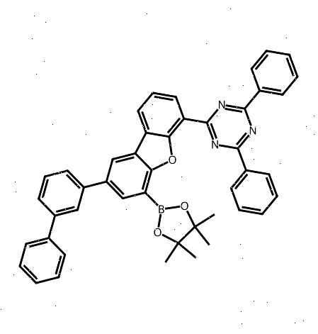 CC1(C)OB(c2cc(-c3cccc(-c4ccccc4)c3)cc3c2oc2c(-c4nc(-c5ccccc5)nc(-c5ccccc5)n4)cccc23)OC1(C)C